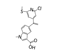 C=C(c1cc(Cl)nc(SC)c1)c1ccc2c(c1)c(C(=O)O)cn2C